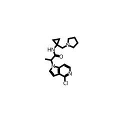 CC(C(=O)NC1(CN2CCCC2)CC1)n1ccc2c(Cl)nccc21